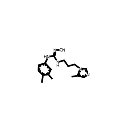 Cc1ccc(NC(=NC#N)NCCCn2cncc2C)cc1C